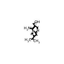 CC(C)c1cc2ncc(CO)c(N)n2n1